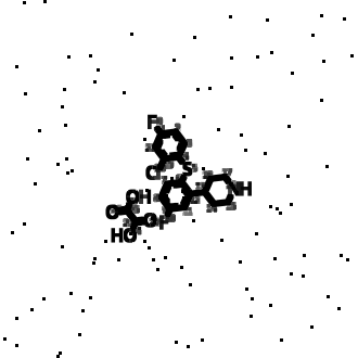 Fc1ccc(Sc2ccc(F)cc2C2CCNCC2)c(Cl)c1.O=C(O)C(=O)O